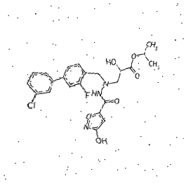 CC(C)OC(=O)C(O)CN(Cc1ccc(-c2cccc(Cl)c2)cc1F)NC(=O)c1cc(O)no1